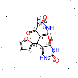 O=c1[nH]cc(C(c2ccco2)c2c[nH]c(=O)[nH]c2=O)c(=O)[nH]1